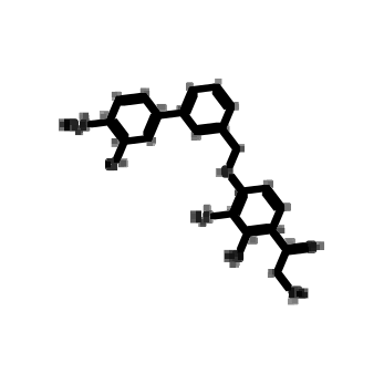 Cc1c(OCc2cccc(-c3ccc(C(=O)O)c(Cl)c3)c2)ccc(C(=O)CC(C)(C)C)c1O